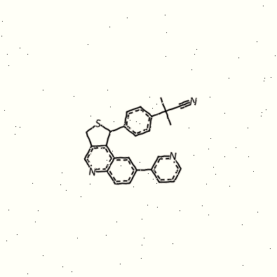 CC(C)(C#N)c1ccc(C2SCc3cnc4ccc(-c5cccnc5)cc4c32)cc1